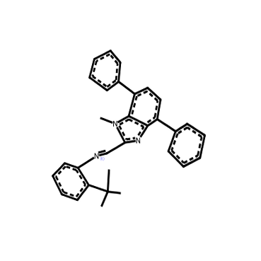 Cn1c(/C=N/c2ccccc2C(C)(C)C)nc2c(-c3ccccc3)ccc(-c3ccccc3)c21